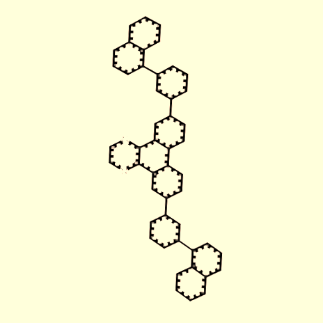 c1cc(-c2ccc3c4ccc(-c5cccc(-c6cccc7ccccc67)c5)cc4c4nccnc4c3c2)cc(-c2cccc3ccccc23)c1